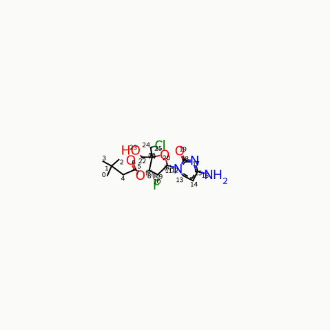 CC(C)(C)CC(=O)O[C@H]1[C@@H](F)[C@H](n2ccc(N)nc2=O)O[C@@]1(CO)CCl